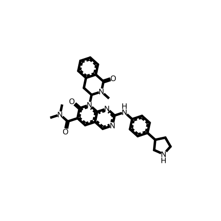 CN(C)C(=O)c1cc2cnc(Nc3ccc(C4CCNC4)cc3)nc2n(C2Cc3ccccc3C(=O)N2C)c1=O